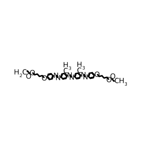 C=CC(=O)OCCCCOc1ccc(N=Nc2ccc(N=Nc3ccc(N=Nc4ccc(OCCCCOC(=O)CC)cc4)c(C)c3)c(C)c2)cc1